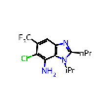 CCCc1nc2cc(C(F)(F)F)c(Cl)c(N)c2n1C(C)C